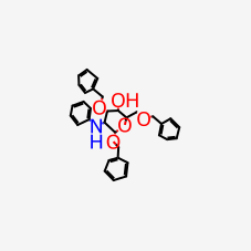 OC1C(COCc2ccccc2)OC(OCc2ccccc2)C(Nc2ccccc2)C1OCc1ccccc1